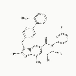 CCCc1nc2c(C)cc(C(=O)N(c3cccc(F)c3)C(C)CS)cc2n1Cc1ccc(-c2ccccc2C(=O)O)cc1